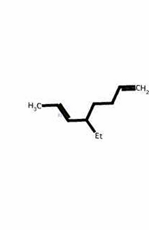 C=CCCC(/C=C/C)CC